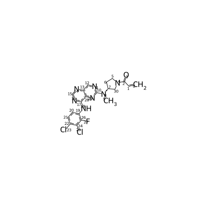 C=CC(=O)N1CC[C@H](N(C)c2ncc3ncnc(Nc4ccc(Cl)c(Cl)c4F)c3n2)C1